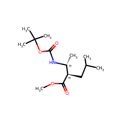 COC(=O)[C@H](CC(C)C)[C@@H](C)NC(=O)OC(C)(C)C